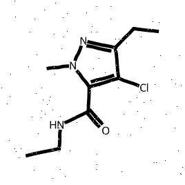 CCNC(=O)c1c(Cl)c(CC)nn1C